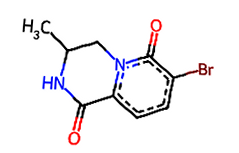 CC1Cn2c(ccc(Br)c2=O)C(=O)N1